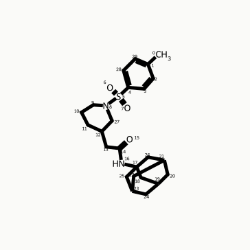 Cc1ccc(S(=O)(=O)N2CCCC(CC(=O)NC34CC5CC(CC(C5)C3)C4)C2)cc1